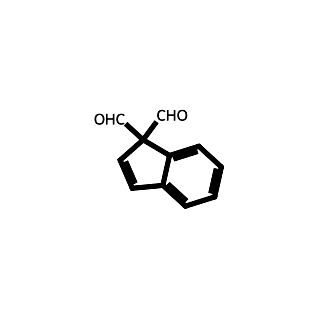 O=CC1(C=O)C=Cc2ccccc21